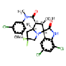 COc1cc(Cl)cc(N(C)C(=O)[C@H]2[C@@H](C(=O)O)[C@]3(C(=O)Nc4c(Cl)cc(Cl)cc43)N3CC(F)(F)C[C@@H]23)c1